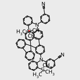 C[Si](C)(C)c1ccccc1N(c1cccc(C#N)c1)c1ccc2c(c1)C1(c3ccccc3-c3ccccc31)c1cccc3c(N(c4cccc(C#N)c4)c4ccccc4[Si](C)(C)C)ccc-2c13